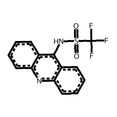 O=S(=O)(Nc1c2ccccc2nc2ccccc12)C(F)(F)F